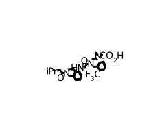 CC(C)CC(=O)N1CCc2c(cccc2NCC(=O)N(CCN(C)C(=O)O)Cc2ccccc2C(F)(F)F)C1